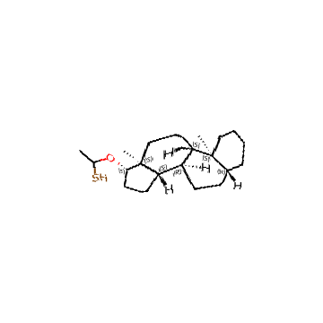 CC(S)O[C@H]1CC[C@H]2[C@@H]3CC[C@H]4CCCC[C@]4(C)[C@H]3CC[C@]12C